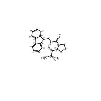 C=C(C)C(=O)[C@@H]1CSCN1C(=O)OCC1c2ccccc2-c2ccccc21